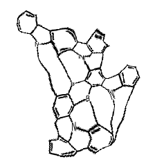 C1=CC2c3cc4c5cccc6c7c8c9cccc%10c%11cc%12c%13cccc%14c%15cc%16c%17c%18c%15n(c%12c%12c%11n(c8c(c8c7n(c4c(c3N%16C2C=C1)B%178)c56)B%18%12)c%109)c%14%13